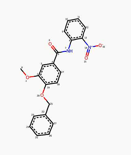 COc1cc(C(=O)Nc2ccccc2[N+](=O)[O-])ccc1OCc1ccccc1